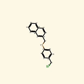 BrCc1ccc(SCc2ccc3ccccc3c2)cc1